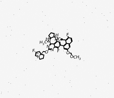 C#Cc1c(F)ccc2cc(OCOC)cc(-c3cc4c5c(nc(OC[C@@]67CCCN6C[C@H](F)C7)nc5c3F)N(C)[C@H]3CCC[C@H]3O4)c12